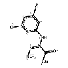 CC(C)(C)C(=O)C(=NNC(F)(F)F)Nc1cc(Cl)cc(Cl)c1